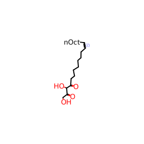 CCCCCCCC/C=C\CCCCCCCC(=O)C(O)C(=O)CO